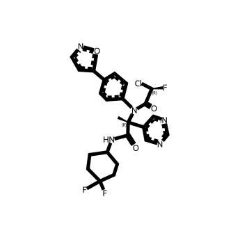 C[C@](C(=O)NC1CCC(F)(F)CC1)(c1cncnc1)N(C(=O)[C@H](F)Cl)c1ccc(-c2ccno2)cc1